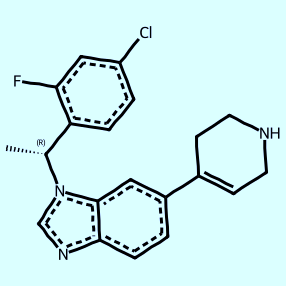 C[C@H](c1ccc(Cl)cc1F)n1cnc2ccc(C3=CCNCC3)cc21